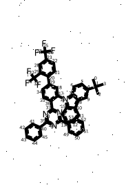 CC(C)(C)c1ccc2c(c1)c1ccccc1n2-c1cc(-c2ccc(C(F)(F)F)cc2C(F)(F)F)ccc1-c1nc(-c2ccccc2)nc(-c2ccccc2)n1